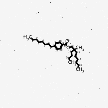 CCCCCCCCc1ccc(C(=O)OCC(C)(CCCC)CCCCCC)cc1